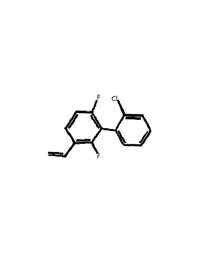 C=Cc1ccc(F)c(-c2ccccc2Cl)c1F